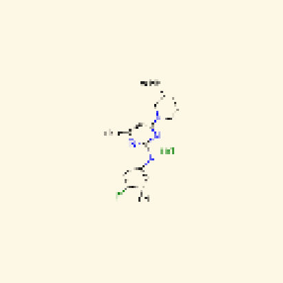 CCCCc1cc(N2CCCC(NC(C)=O)C2)nc(Nc2ccc(F)c(C#N)c2)n1.Cl